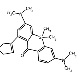 CN(C)c1ccc2c(c1)[Si](C)(C)c1cc(N(C)C)cc(C3=CCCC3)c1C2=O